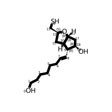 OCCCCCCC=C[C@@H]1[C@H]2C[C@@H](CS)O[C@@H]2C[C@H]1O